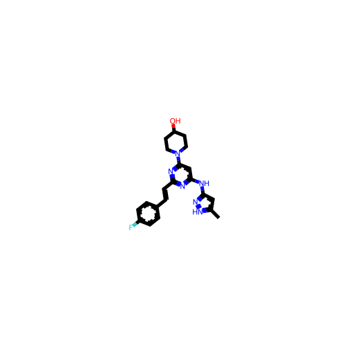 Cc1cc(Nc2cc(N3CCC(O)CC3)nc(/C=C/c3ccc(F)cc3)n2)n[nH]1